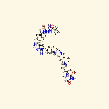 Cc1cc(-c2ncnc3[nH]c(-c4ccc(N5CCN(CC6CCN(c7ccc(N8CCC(=O)NC8=O)cc7)CC6)CC5)cc4)cc23)ccc1C(C)NC(=O)c1noc(C(C)(C)C)n1